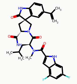 C=C(C)c1ccc2c(c1)[C@@]1(C[C@@H](C(N)=O)N(C(=O)[C@H](CC(C)C)N(C)C(=O)c3cc4c(F)cc(F)cc4[nH]3)C1)C(=O)N2